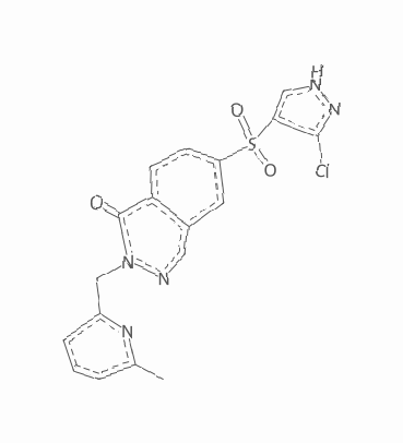 Cc1cccc(Cn2ncc3cc(S(=O)(=O)c4c[nH]nc4Cl)ccc3c2=O)n1